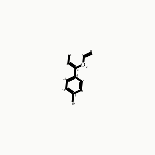 C=CO/C(=C\C)c1ccc(C)cc1